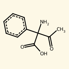 CC(=O)C(N)(C(=O)O)c1ccccc1